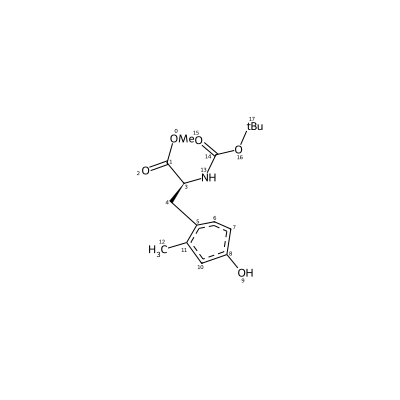 COC(=O)[C@H](Cc1ccc(O)cc1C)NC(=O)OC(C)(C)C